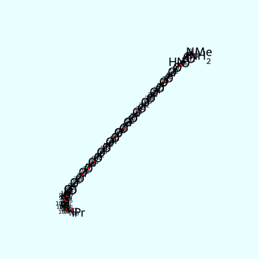 CN[C@@H](CSCC(=O)NCCOCCOCCOCCOCCOCCOCCOCCOCCOCCOCCOCCOCCOCCOCCOCCOCCOCCOCCOCCOCCOCCOCCOCCOCCC(=O)O[C@H]1CC[C@@]2(C)C(=CCC3C2CC[C@@]2(C)C3CC[C@@H]2[C@H](C)CCCC(C)C)C1)C(N)=O